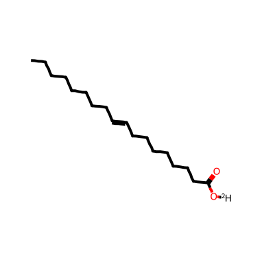 [2H]OC(=O)CCCCCCCC=CCCCCCCCC